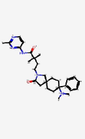 Cc1nccc(NC(=O)C(C)(C)CCN2CC3(CCC(c4ccccc4)(N(C)C)CC3)CC2=O)n1